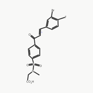 CN(CC(=O)O)S(=O)(=O)c1ccc(C(=O)/C=C/c2ccc(F)c(Br)c2)cc1